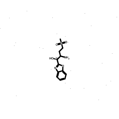 CS(=O)(=O)CCC(N)[C@H](O)c1nc2ccccc2o1